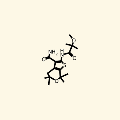 COC(C)(C)C(=O)Nc1sc2c(c1C(N)=O)CC(C)(C)OC2(C)C